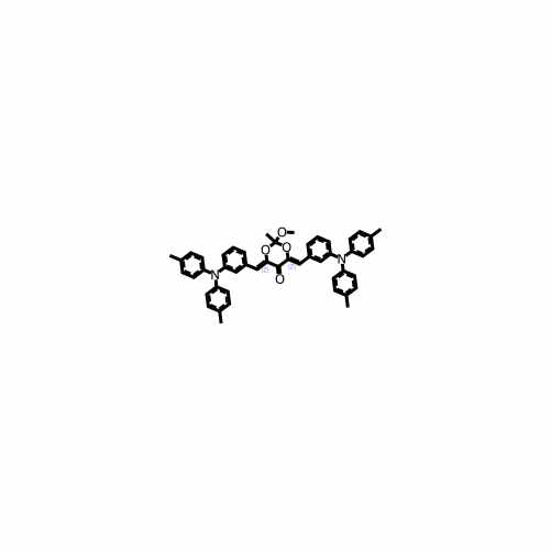 COC1(C)O/C(=C\c2cccc(N(c3ccc(C)cc3)c3ccc(C)cc3)c2)C(=O)/C(=C/c2cccc(N(c3ccc(C)cc3)c3ccc(C)cc3)c2)O1